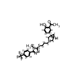 CC(=O)c1cc([C@]23C[C@H]2CN(CCCSc2nnc(-c4ccc(C(F)(F)F)cc4)n2C)C3)ccc1O